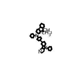 CC1(C)c2ccccc2-c2ccc(N(c3ccccc3)c3ccc(-c4ccc5c(c4)c4c(n5-c5ccccc5)CCN=C4)cc3)cc21